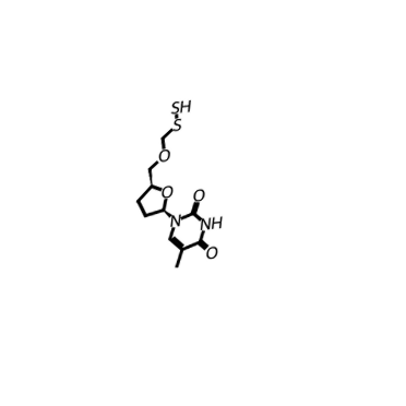 Cc1cn([C@H]2CC[C@@H](COCSS)O2)c(=O)[nH]c1=O